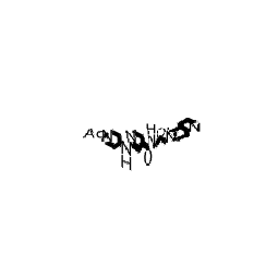 CC(=O)N1CCC(Nc2cc(C(=O)NC[C@H](O)CN3CCc4ncccc4C3)ccn2)CC1